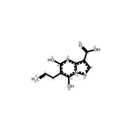 C=CCc1c(O)nc2c(C(=O)O)cnn2c1O